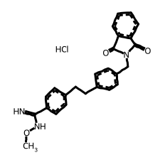 CONC(=N)c1ccc(CCc2ccc(CN3C(=O)c4ccccc4C3=O)cc2)cc1.Cl